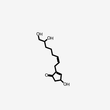 O=C1CC(O)C=C1C/C=C\CCCC(O)CO